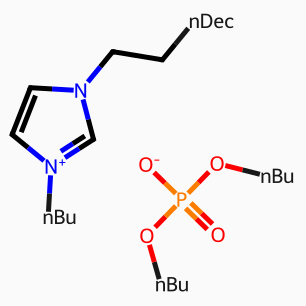 CCCCCCCCCCCCn1cc[n+](CCCC)c1.CCCCOP(=O)([O-])OCCCC